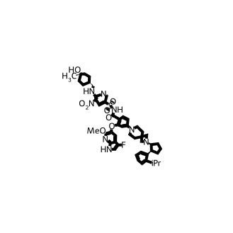 COc1nc2[nH]cc(F)c2cc1Oc1cc(N2CCC3(CC2)CN([C@H]2CCC[C@H]2c2ccccc2C(C)C)C3)ccc1C(=O)NS(=O)(=O)c1cnc(NC[C@H]2CC[C@](C)(O)CC2)c([N+](=O)[O-])c1